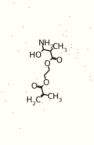 C=C(C)C(=O)OCCOC(=O)C(C)C(N)O